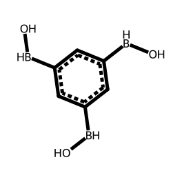 OBc1cc(BO)cc(BO)c1